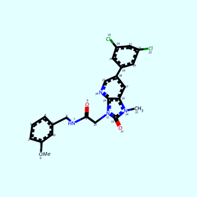 COc1cccc(CNC(=O)Cn2c(=O)n(C)c3cc(-c4cc(Cl)cc(Cl)c4)cnc32)c1